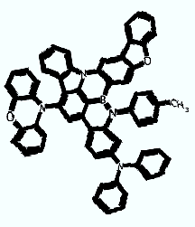 Cc1ccc(N2B3c4cc5oc6ccccc6c5cc4-n4c5ccccc5c5c(N6c7ccccc7Oc7ccccc76)cc(c3c54)-c3ccc(N(c4ccccc4)c4ccccc4)cc32)cc1